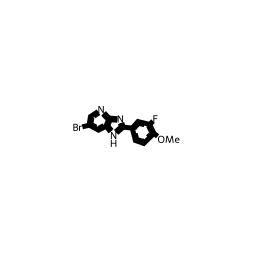 COc1ccc(-c2nc3ncc(Br)cc3[nH]2)cc1F